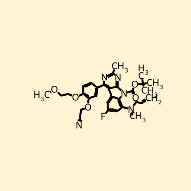 C=CCN(C)c1cc(F)cc2c3c(-c4ccc(OCCOC)c(OCC#N)c4)nc(C)nc3n(C(=O)OC(C)(C)C)c12